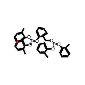 Cc1ccccc1OP(OCc1ccccc1OP(Oc1ccccc1C)Oc1ccccc1C)Oc1ccccc1C